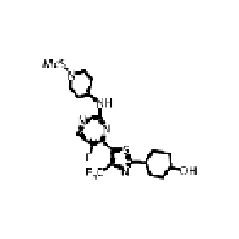 CSN1CCC(Nc2ncc(F)c(-c3sc(C4CCC(O)CC4)nc3C(F)(F)F)n2)CC1